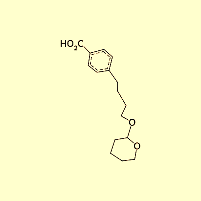 O=C(O)c1ccc(CCCCOC2CCCCO2)cc1